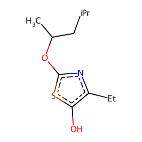 CCc1nc(OC(C)CC(C)C)sc1O